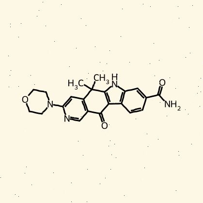 CC1(C)c2cc(N3CCOCC3)ncc2C(=O)c2c1[nH]c1cc(C(N)=O)ccc21